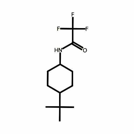 CC(C)(C)C1CCC(NC(=O)C(F)(F)F)CC1